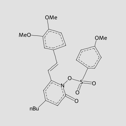 CCCCc1cc(C=Cc2ccc(OC)c(OC)c2)n(OS(=O)(=O)c2ccc(OC)cc2)c(=O)c1